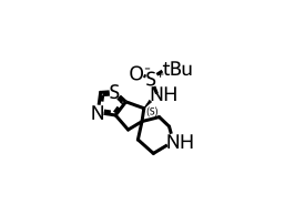 CC(C)(C)[S+]([O-])N[C@@H]1c2scnc2CC12CCNCC2